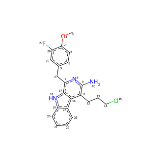 COc1ccc(Cc2nc(N)c(CCCCl)c3c2[nH]c2ccccc23)cc1F